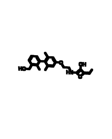 C/C=C1/OC(NCCOc2cc(C)c(-c3cccc(CO)c3C)c(C)c2)=C1O